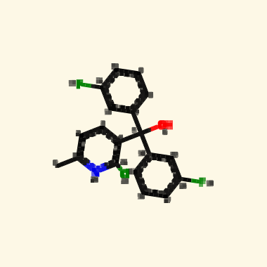 Cc1ccc(C(O)(c2cccc(F)c2)c2cccc(F)c2)c(Cl)n1